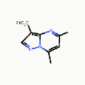 CCOC(=O)c1cnn2c(C)cc(C)nc12